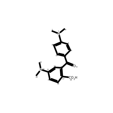 CN(C)c1ccc(C(=O)c2cc(N(C)C)ccc2C(=O)O)cc1